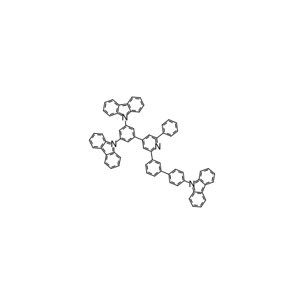 c1ccc(-c2cc(-c3cc(-n4c5ccccc5c5ccccc54)cc(-n4c5ccccc5c5ccccc54)c3)cc(-c3cccc(-c4ccc(-n5c6ccccc6c6ccccc65)cc4)c3)n2)cc1